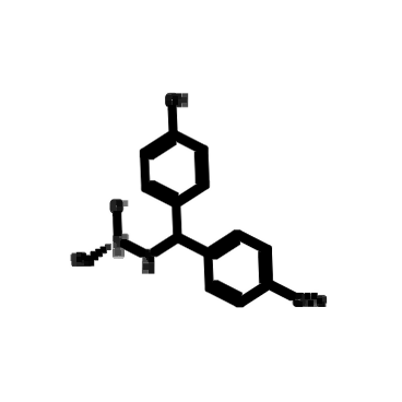 COc1ccc(C(N[S@@+]([O-])C(C)(C)C)c2ccc(O)cc2)cc1